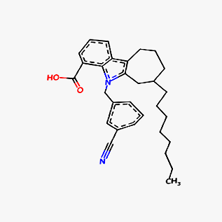 CCCCCCCCC1CCCc2c(n(Cc3cccc(C#N)c3)c3c(C(=O)O)cccc23)C1